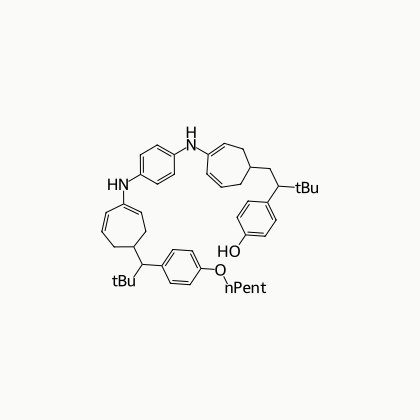 CCCCCOc1ccc(C(C2CC=CC(Nc3ccc(NC4=CCC(CC(c5ccc(O)cc5)C(C)(C)C)CC=C4)cc3)=CC2)C(C)(C)C)cc1